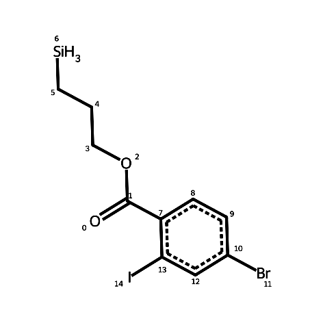 O=C(OCCC[SiH3])c1ccc(Br)cc1I